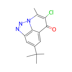 Cc1c(Cl)c(=O)c2cc(C(C)(C)C)cc3nnn1c32